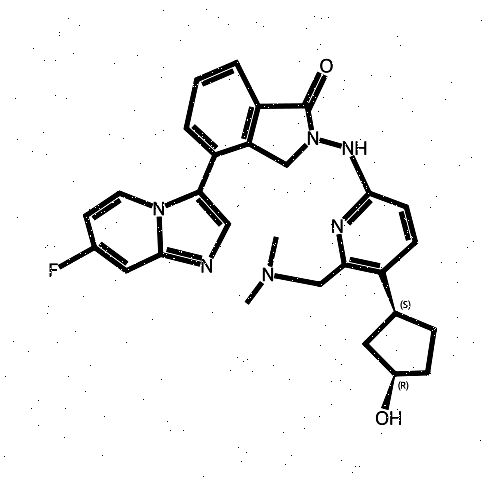 CN(C)Cc1nc(NN2Cc3c(cccc3-c3cnc4cc(F)ccn34)C2=O)ccc1[C@H]1CC[C@@H](O)C1